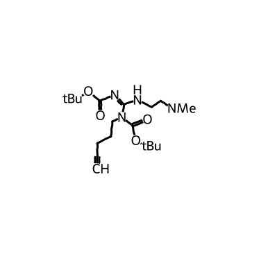 C#CCCCN(C(=O)OC(C)(C)C)/C(=N\C(=O)OC(C)(C)C)NCCNC